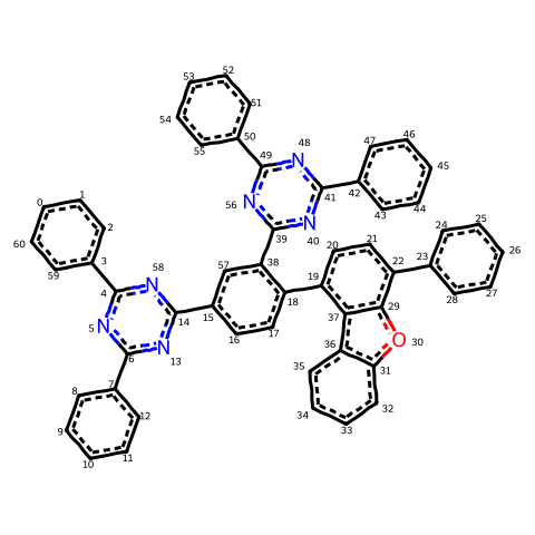 c1ccc(-c2nc(-c3ccccc3)nc(-c3ccc(-c4ccc(-c5ccccc5)c5oc6ccccc6c45)c(-c4nc(-c5ccccc5)nc(-c5ccccc5)n4)c3)n2)cc1